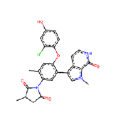 Cc1cc(Oc2ccc(O)cc2Cl)c(-c2cn(C)c3c(=O)[nH]ccc23)cc1N1C(=O)CC(C)C1=O